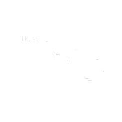 C#CCOC1=CC2C=CC=CC2C=C1